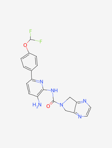 Nc1ccc(-c2ccc(OC(F)F)cc2)nc1NC(=O)N1Cc2nccnc2C1